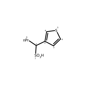 CCCC(c1ccsc1)S(=O)(=O)O